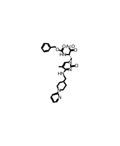 CC(=O)OC(=O)[C@H](Cn1cc(C)c(NCC2CCN(c3ccccn3)CC2)nc1=O)NC(=O)OCc1ccccc1